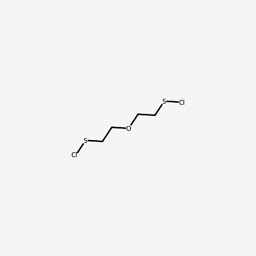 ClSCCOCCSCl